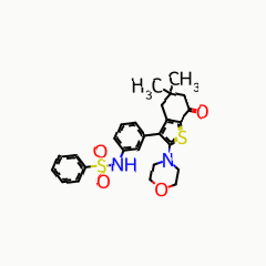 CC1(C)CC(=O)c2sc(N3CCOCC3)c(-c3cccc(NS(=O)(=O)c4ccccc4)c3)c2C1